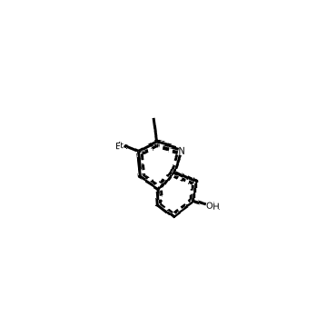 [CH2]Cc1cc2ccc(O)cc2nc1C